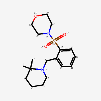 CC1(C)CCCCN1Cc1ccccc1S(=O)(=O)N1CCOCC1